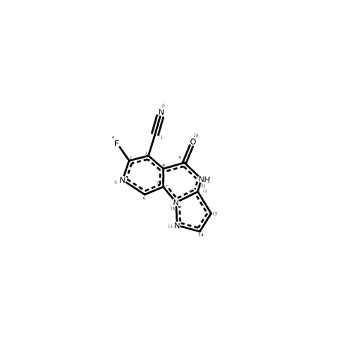 N#Cc1c(F)ncc2c1c(=O)[nH]c1ccnn12